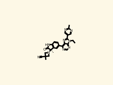 CCn1c(-c2cnc(C)nc2)nc2c(-c3ccc4c(c3)[C@@](C)(N3CC(C)(C#N)C3)C(=O)N4)ncnc21